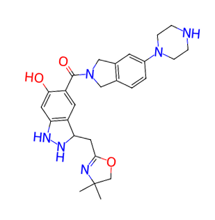 CC1(C)COC(CC2NNc3cc(O)c(C(=O)N4Cc5ccc(N6CCNCC6)cc5C4)cc32)=N1